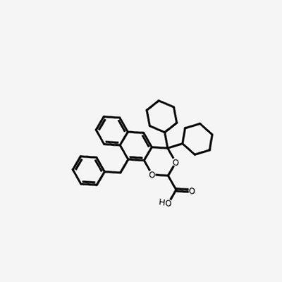 O=C(O)C1Oc2c(cc3ccccc3c2Cc2ccccc2)C(C2CCCCC2)(C2CCCCC2)O1